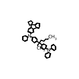 CCCCCC(CC)(c1ccc(N(c2ccccc2)c2ccccc2)cc1)c1ccc(N(c2ccccc2)c2ccc3c(c2)-c2ccccc2C32CCCC2)cc1